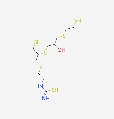 N=C(S)NCCSCC(CS)SCC(O)CSCCS